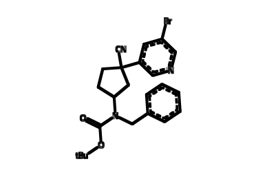 CC(C)(C)OC(=O)N(Cc1ccccc1)C1CCC(C#N)(c2cncc(Br)c2)C1